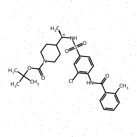 Cc1ccccc1C(=O)Nc1ccc(S(=O)(=O)N[C@H](C)C2CCN(C(=O)OC(C)(C)C)CC2)cc1Cl